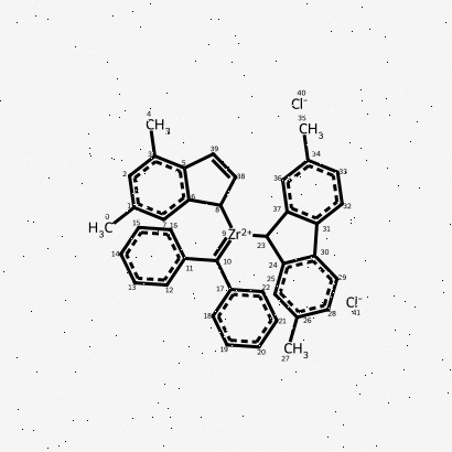 Cc1cc(C)c2c(c1)[CH]([Zr+2](=[C](c1ccccc1)c1ccccc1)[CH]1c3cc(C)ccc3-c3ccc(C)cc31)C=C2.[Cl-].[Cl-]